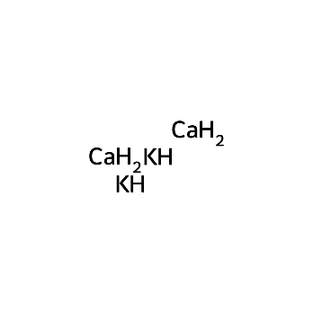 [CaH2].[CaH2].[KH].[KH]